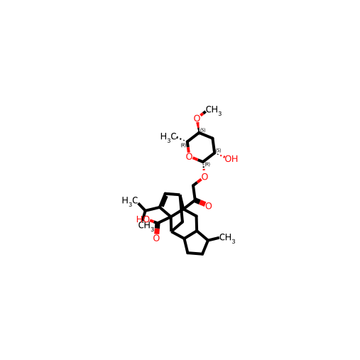 CO[C@H]1C[C@H](O)[C@H](OCC(=O)C23CC4C(C)CCC4C4CC2C=C(C(C)C)C43C(=O)O)O[C@@H]1C